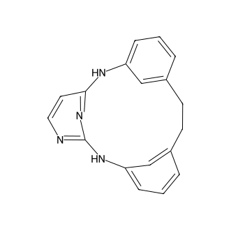 c1cc2cc(c1)Nc1ccnc(n1)Nc1cccc(c1)CC2